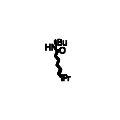 CC(C)/C=C/CCCC(=O)NC(C)(C)C